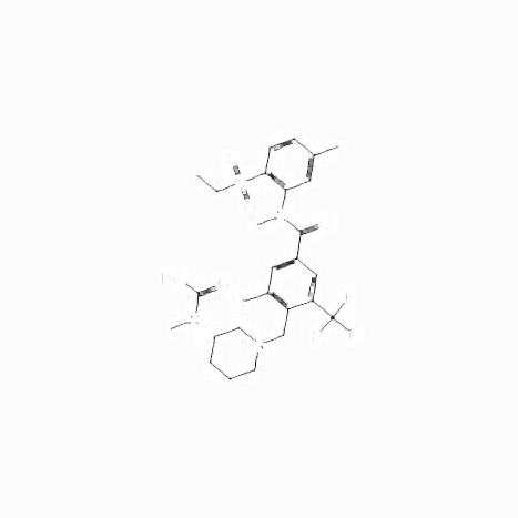 CCS(=O)(=O)c1ccc(C)cc1N(C)C(=O)c1cc(Cl)c(CN2CCC[C@H](N(C)C(=O)O)C2)c(C(F)(F)F)c1